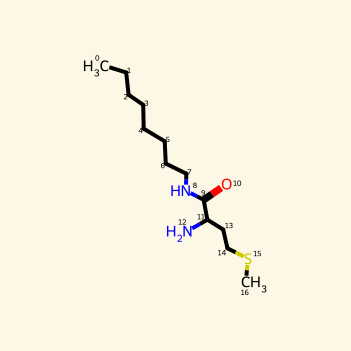 CCCCCCCCNC(=O)C(N)CCSC